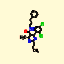 CCCc1nc(C)c(C(=O)NCCCc2ccccc2)c(-c2ccc(Cl)cc2Cl)n1